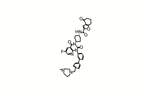 CN1CCCN(Cc2ccc(-c3cccc(-n4c(=O)n([C@H]5CC[C@@H](NC(=O)c6cc7c(o6)CCCC7=O)CC5)c(=O)c5cc(F)cnc54)c3)cc2)CC1